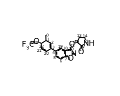 CC1C=C(c2ccc3onc(O[C@@H]4CCNC4=O)c3c2)C=CC1OC(F)(F)F